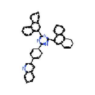 C1=Cc2cc(-c3nc(-c4cc5ccccc5c5ccccc45)nc(C4C=CC(c5cnc6ccccc6c5)=CC4)n3)c3ccccc3c2CC1